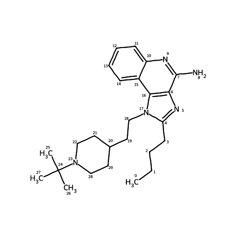 CCCCc1nc2c(N)nc3ccccc3c2n1CCC1CCN(C(C)(C)C)CC1